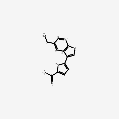 NC(=O)c1ccc(-c2c[nH]c3ncc(CO)cc23)s1